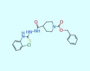 O=C(NNC(=S)Nc1ccccc1Cl)C1CCN(C(=O)OCc2ccccc2)CC1